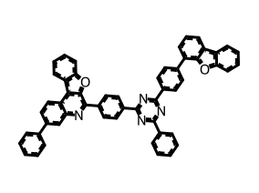 c1ccc(-c2ccc3c(c2)nc(-c2ccc(-c4nc(-c5ccccc5)nc(-c5ccc(-c6cccc7c6oc6ccccc67)cc5)n4)cc2)c2oc4ccccc4c23)cc1